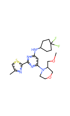 COCC1COCCN1c1cc(NC2CCC(F)(F)CC2)nc(-c2nc(C)cs2)n1